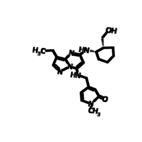 CCc1cnn2c(NCc3ccn(C)c(=O)c3)cc(N[C@H]3CCCC[C@H]3CO)nc12